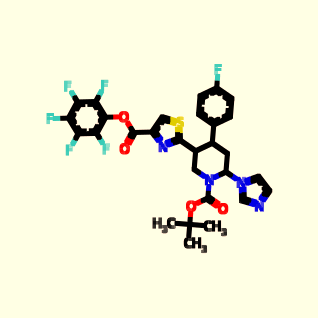 CC(C)(C)OC(=O)N1CC(c2nc(C(=O)Oc3c(F)c(F)c(F)c(F)c3F)cs2)C(c2ccc(F)cc2)CC1n1ccnc1